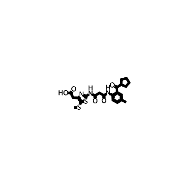 CSc1sc(NC(=O)CC(=O)Nc2ccc(C)cc2C(=O)C2CCCC2)nc1CC(=O)O